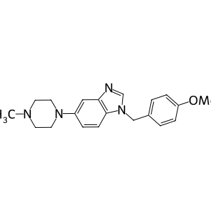 COc1ccc(Cn2cnc3cc(N4CCN(C)CC4)ccc32)cc1